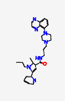 CCCN1C(c2ccccn2)=CC(C(=O)NCCCN2CCN(c3cccc4nccnc34)CC2)C1C